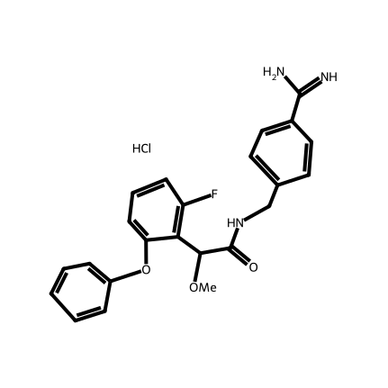 COC(C(=O)NCc1ccc(C(=N)N)cc1)c1c(F)cccc1Oc1ccccc1.Cl